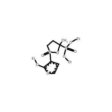 CCOc1occc1P1(=O)CCC(C)(P(=O)(OCC)OCC)O1